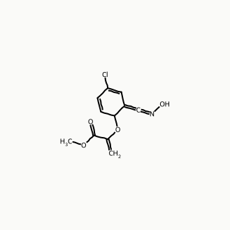 C=C(OC1C=CC(Cl)=CC1=C=NO)C(=O)OC